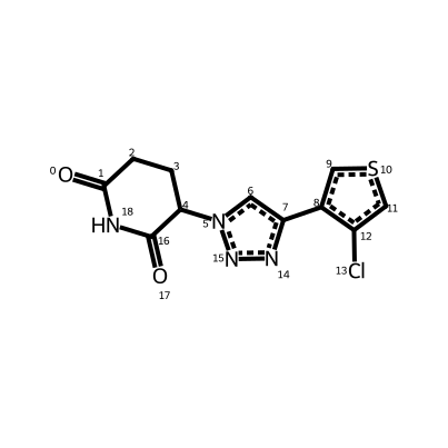 O=C1CCC(n2cc(-c3cscc3Cl)nn2)C(=O)N1